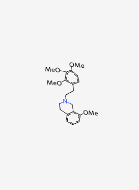 COc1cccc2c1CN(CCc1ccc(OC)c(OC)c1OC)CC2